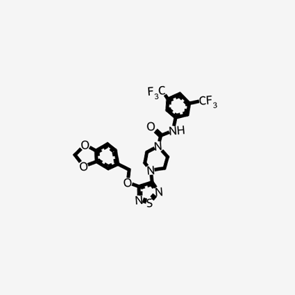 O=C(Nc1cc(C(F)(F)F)cc(C(F)(F)F)c1)N1CCN(c2nsnc2OCc2ccc3c(c2)OCO3)CC1